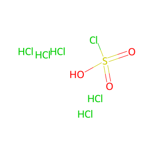 Cl.Cl.Cl.Cl.Cl.O=S(=O)(O)Cl